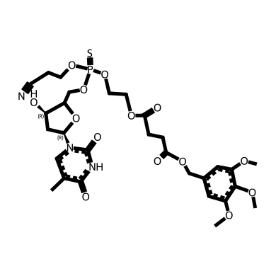 COc1cc(COC(=O)CCC(=O)OCCOP(=S)(OCCC#N)OCC2O[C@@H](n3cc(C)c(=O)[nH]c3=O)C[C@H]2O)cc(OC)c1OC